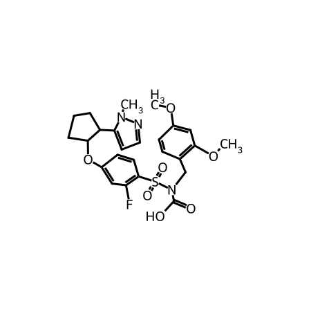 COc1ccc(CN(C(=O)O)S(=O)(=O)c2ccc(OC3CCCC3c3ccnn3C)cc2F)c(OC)c1